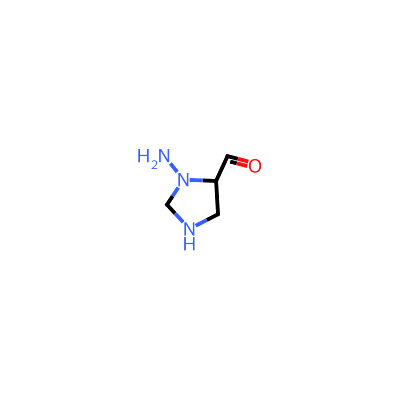 NN1CNCC1C=O